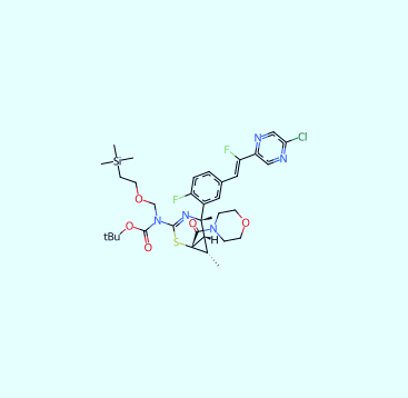 C[C@H]1[C@@H]2[C@@]1(C(=O)N1CCOCC1)SC(N(COCC[Si](C)(C)C)C(=O)OC(C)(C)C)=N[C@]2(C)c1cc(/C=C(\F)c2cnc(Cl)cn2)ccc1F